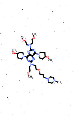 COCCN(CCOC)c1nc(N2CCC(OC)CC2)c2nc(N(CCOC)CCOCCCN3CCN(C)CC3)nc(N3CCC(OC)CC3)c2n1